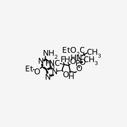 CCOC(=O)C(C)(C)N[P@@]1(=O)OC[C@H]2O[C@@H](n3cnc4c(OCC)nc(N)nc43)[C@](C)(F)[C@@H]2O1